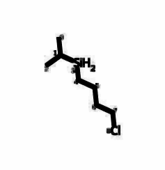 CC(C)[SiH2]CCCCCl